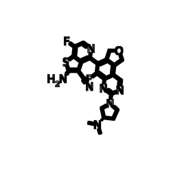 CN(C)[C@H]1CCN(c2ncc3c4c(c(-c5ncc(F)c6sc(N)c(C#N)c56)c(F)c3n2)COC4)C1